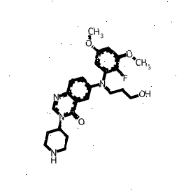 COc1cc(OC)c(F)c(N(CCCO)c2ccc3ncn(C4CCNCC4)c(=O)c3c2)c1